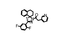 O=C(Cc1cccnc1)N1N=C(c2cc(F)ccc2F)SC12CCCc1ccccc12